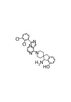 NC1c2c(O)cccc2CC12CCN(c1nccn3c(-c4cccc(Cl)c4Cl)ncc13)CC2